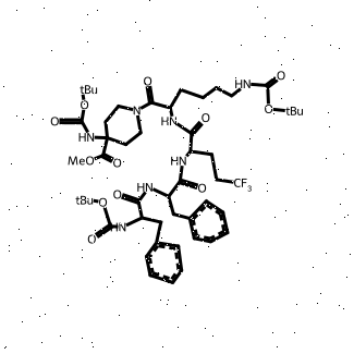 COC(=O)C1(NC(=O)OC(C)(C)C)CCN(C(=O)C(CCCCNC(=O)OC(C)(C)C)NC(=O)C(CCC(F)(F)F)NC(=O)C(Cc2ccccc2)NC(=O)C(Cc2ccccc2)NC(=O)OC(C)(C)C)CC1